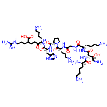 N=C(N)NCCCC(CCC(=O)[C@H](CCCCN)NC(=O)[C@H](Cc1cnc[nH]1)NC(=O)[C@@H]1CCCN1C(=O)[C@@H](CCCN)NC(=O)CNC(=O)[C@H](CCCCN)NC(=O)[C@@H](NC(=O)[C@@H](N)CCCCN)[C@@H](O)CN)C(=O)O